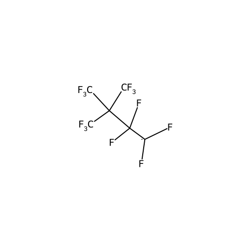 F[C](F)C(F)(F)C(C(F)(F)F)(C(F)(F)F)C(F)(F)F